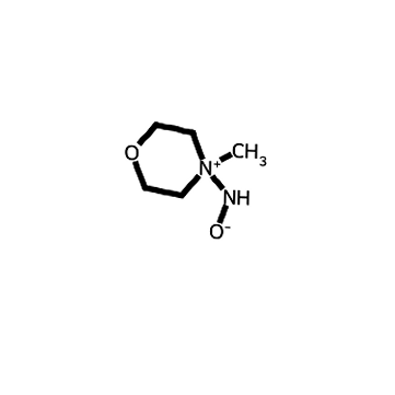 C[N+]1(N[O-])CCOCC1